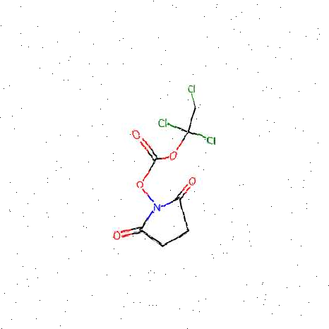 O=C(ON1C(=O)CCC1=O)OC(Cl)(Cl)CCl